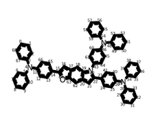 c1ccc(N(c2ccccc2)c2ccc(-c3cc4cc5c(cc(-c6ccc(N(c7ccccc7)c7ccccc7)cc6)n5-c5ccc(N(c6ccccc6)c6ccccc6)cc5)cc4o3)cc2)cc1